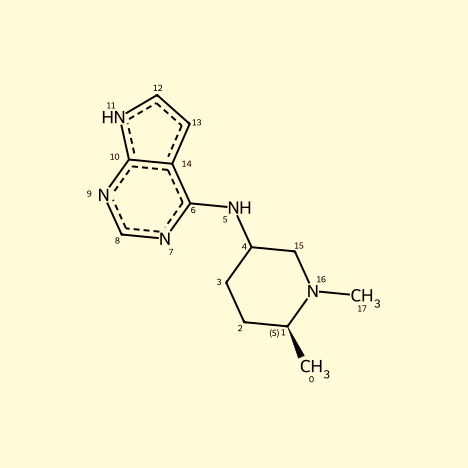 C[C@H]1CCC(Nc2ncnc3[nH]ccc23)CN1C